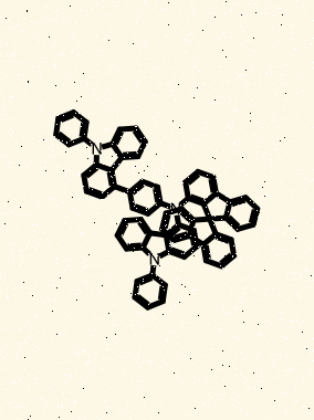 c1ccc(-n2c3ccccc3c3c(-c4ccc(N(c5cccc6c5C5(c7ccccc7-c7ccccc75)c5ccccc5-6)c5cccc6c5c5ccccc5n6-c5ccccc5)cc4)cccc32)cc1